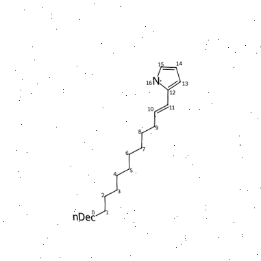 CCCCCCCCCCCCCCCCCCCC=CC1=CC=C[N]1